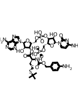 CC(C)(C)SSC[C@H](NC(=O)OCc1ccc(N)cc1)C(=O)O[C@H]1[C@@H](O)[C@H](n2cnc3c(N)ncnc32)O[C@@H]1COP(=O)(O)O[C@H]1[C@@H](O)[C@H](n2ccc(N)nc2=O)O[C@@H]1COP(=O)(O)O